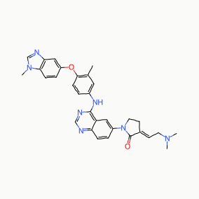 Cc1cc(Nc2ncnc3ccc(N4CC/C(=C\CN(C)C)C4=O)cc23)ccc1Oc1ccc2c(c1)ncn2C